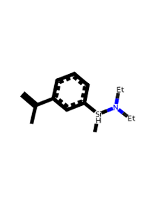 C=C(C)c1cccc([SiH](C)N(CC)CC)c1